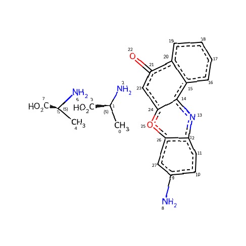 C[C@H](N)C(=O)O.C[C@H](N)C(=O)O.Nc1ccc2nc3c4ccccc4c(=O)cc-3oc2c1